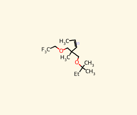 C/C=C\C(C)(COCC(F)(F)F)COC(C)(C)CC